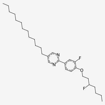 CCCCCCCCCCCCCc1cnc(-c2ccc(OCCC(F)CCCC)c(F)c2)nc1